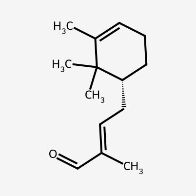 CC1=CCC[C@H](C/C=C(\C)C=O)C1(C)C